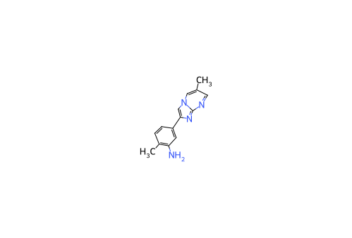 Cc1cnc2nc(-c3ccc(C)c(N)c3)cn2c1